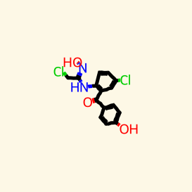 O=C(c1ccc(O)cc1)c1cc(Cl)ccc1NC(CCl)=NO